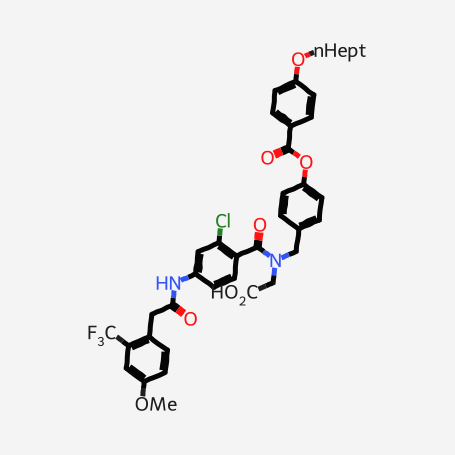 CCCCCCCOc1ccc(C(=O)Oc2ccc(CN(CC(=O)O)C(=O)c3ccc(NC(=O)Cc4ccc(OC)cc4C(F)(F)F)cc3Cl)cc2)cc1